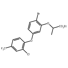 CCOC(=O)C(C)Oc1cc(Oc2ccc(C(F)(F)F)cc2Cl)ccc1Br